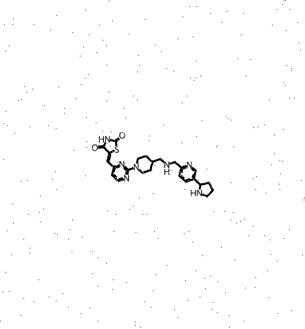 O=C1NC(=O)C(=Cc2ccnc(N3CCC(CNCc4ccc(C5CCCN5)cn4)CC3)n2)S1